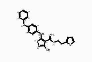 N=C(NCCc1cccs1)c1c(O)nsc1Nc1ccc(Oc2ccccc2)cc1